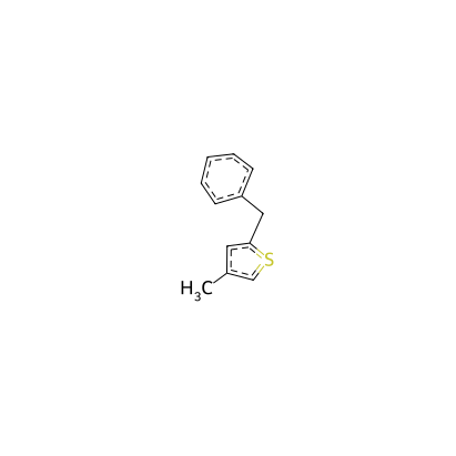 Cc1csc(Cc2ccccc2)c1